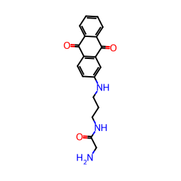 NCC(=O)NCCCNc1ccc2c(c1)C(=O)c1ccccc1C2=O